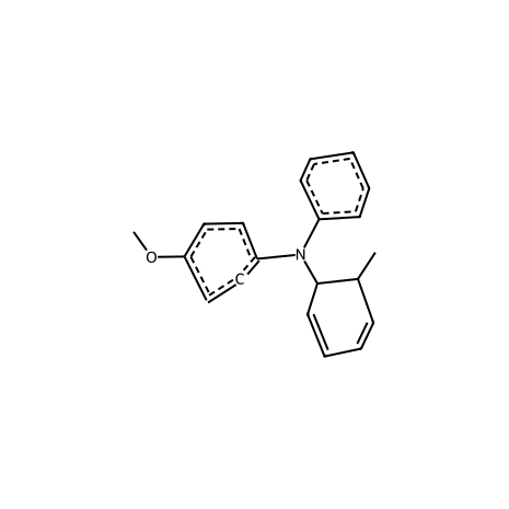 COc1ccc(N(c2ccccc2)C2C=CC=CC2C)cc1